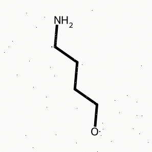 N[CH]CCC[O]